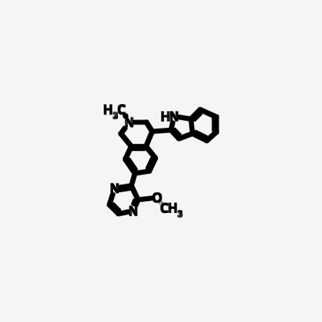 COc1nccnc1-c1ccc2c(c1)CN(C)CC2c1cc2ccccc2[nH]1